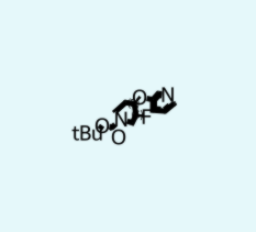 CC(C)(C)OC(=O)N1CC[C@@H](Oc2cccnc2)[C@@H](F)C1